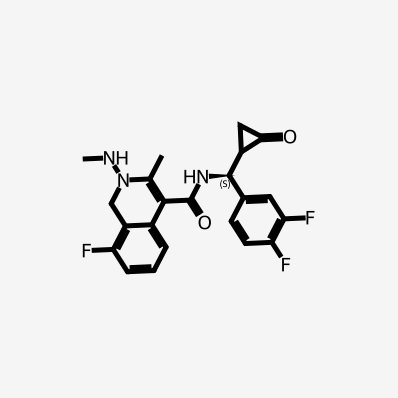 CNN1Cc2c(F)cccc2C(C(=O)N[C@H](c2ccc(F)c(F)c2)C2CC2=O)=C1C